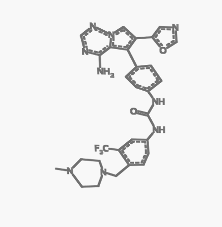 CN1CCN(Cc2ccc(NC(=O)Nc3ccc(-c4c(-c5cnco5)cn5ncnc(N)c45)cc3)cc2C(F)(F)F)CC1